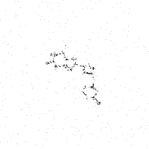 O=c1[nH]c(=O)c2[nH]c(-c3cnn(Cc4cccc(C(F)(F)F)c4)c3)nc2[nH]1